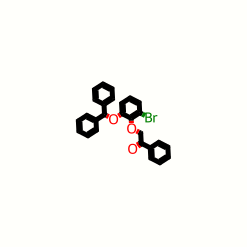 O=C(COc1c(Br)cccc1OC(c1ccccc1)c1ccccc1)c1ccccc1